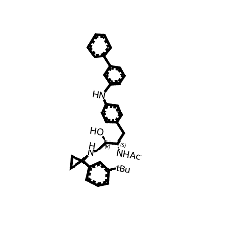 CC(=O)N[C@@H](Cc1ccc(Nc2cccc(-c3ccccc3)c2)cc1)[C@H](O)CNC1(c2cccc(C(C)(C)C)c2)CC1